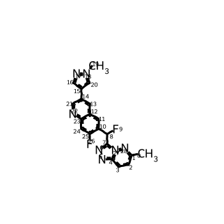 Cc1ccc2nnc(C(F)c3cc4cc(-c5cnn(C)c5)cnc4cc3F)n2n1